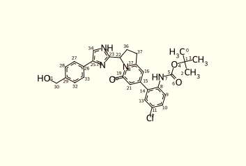 CC(C)(C)OC(=O)Nc1ccc(Cl)cc1-c1cc2n(c(=O)c1)C(c1nc(-c3ccc(CO)cc3)c[nH]1)CC2